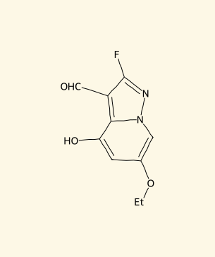 CCOc1cc(O)c2c(C=O)c(F)nn2c1